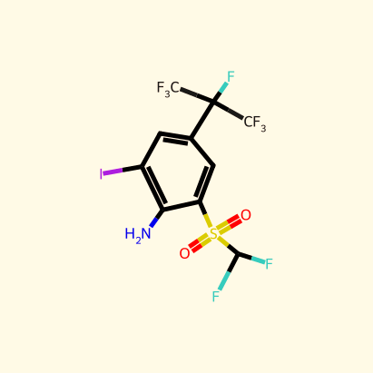 Nc1c(I)cc(C(F)(C(F)(F)F)C(F)(F)F)cc1S(=O)(=O)C(F)F